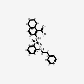 O=C(O)c1c(NS(=O)(=O)c2ccccc2NCCc2ccncc2)ccc2c1CCCC2